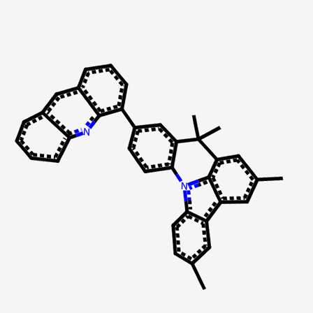 Cc1ccc2c(c1)c1cc(C)cc3c1n2-c1ccc(-c2cccc4cc5ccccc5nc24)cc1C3(C)C